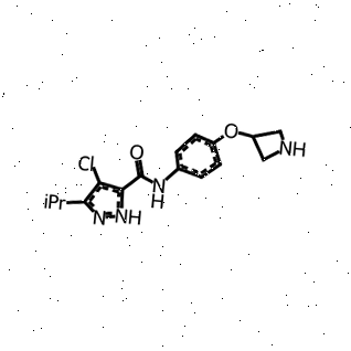 CC(C)c1n[nH]c(C(=O)Nc2ccc(OC3CNC3)cc2)c1Cl